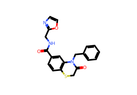 O=C(NCc1ncco1)c1ccc2c(c1)N(Cc1ccccc1)C(=O)CS2